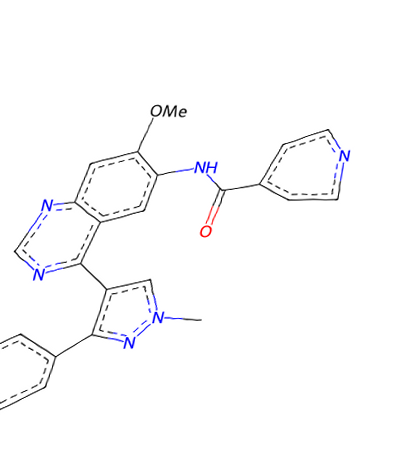 COc1cc2ncnc(-c3cn(C)nc3-c3ccccc3)c2cc1NC(=O)c1ccncc1